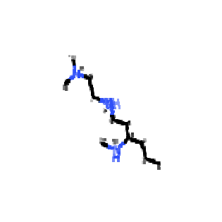 CCCC(CCNCCN(C)C)NC